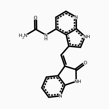 NC(=O)Nc1ccnc2[nH]cc(C=C3C(=O)Nc4ncccc43)c12